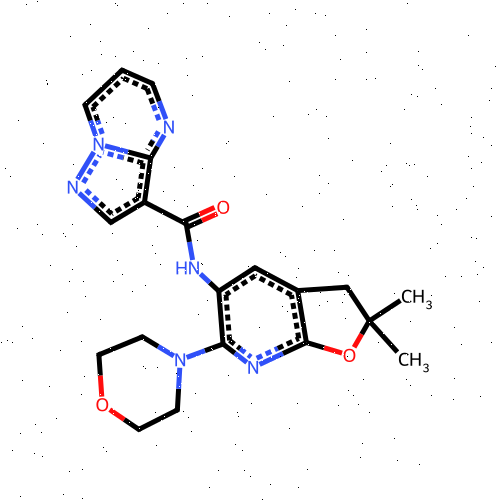 CC1(C)Cc2cc(NC(=O)c3cnn4cccnc34)c(N3CCOCC3)nc2O1